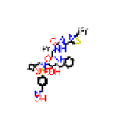 CC(C)c1nc(CN(C)C(=O)N[C@H](C(=O)N[C@@H](Cc2ccccc2)[C@@H](O)CN(CC2CCC2)S(=O)(=O)c2ccc(C=NO)cc2)C(C)C)cs1